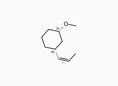 C/C=C\[C@@H]1CCC[C@H](OC)C1